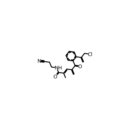 C=C(/C=C(\C)C(=O)NCCC#N)C(=O)c1ccccc1C(=C)CCl